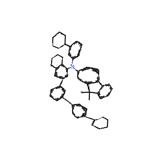 CC1(C)c2ccccc2-c2ccc(N(c3cccc(C4CCCCC4)c3)c3cc(-c4cccc(-c5ccc(C6CCCCC6)cc5)c4)cc4c3CCCC4)cc21